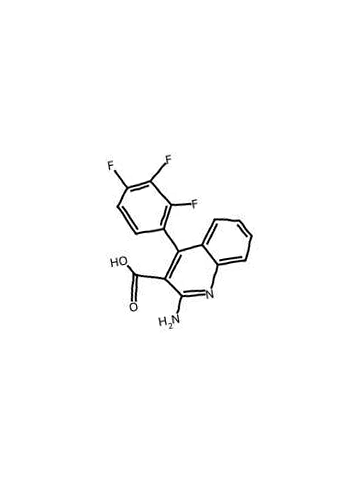 Nc1nc2ccccc2c(-c2ccc(F)c(F)c2F)c1C(=O)O